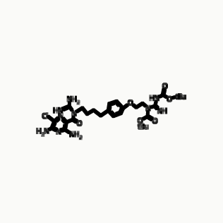 CC(C)(C)OC(=O)NC(=N)N(CCOc1ccc(CCCCN(C(=N)N)C(=O)c2nc(Cl)c(N)nc2N)cc1)C(=O)OC(C)(C)C